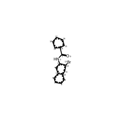 O=C(Nc1cc2ccccc2cc1Br)c1ccccc1